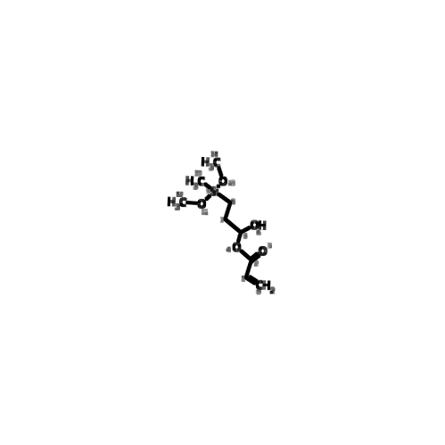 C=CC(=O)OC(O)CC[Si](C)(OC)OC